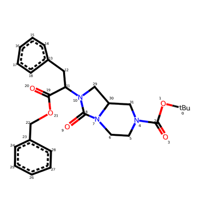 CC(C)(C)OC(=O)N1CCN2C(=O)N(C(Cc3ccccc3)C(=O)OCc3ccccc3)CC2C1